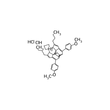 CCCCC1=Cc2c(-c3ccc(OC)cc3)cccc2[CH]1[Hf]1([CH]2C(CCCC)=Cc3c(-c4ccc(OC)cc4)cccc32)[CH2]C[CH2]1.Cl.Cl